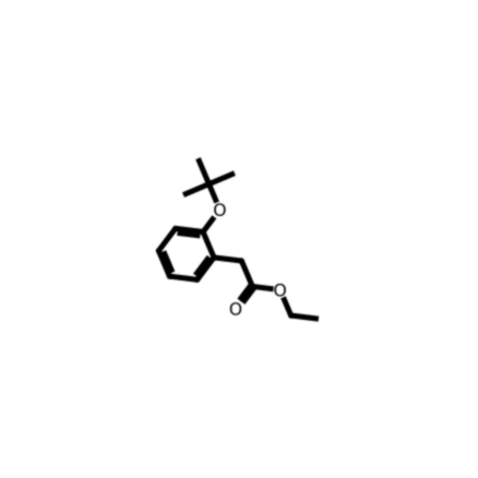 CCOC(=O)Cc1ccccc1OC(C)(C)C